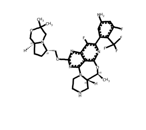 C[C@@H]1Oc2nc(-c3cc(N)cc(F)c3C(F)(F)F)c(F)c3nc(OC[C@@H]4CC[C@H]5COC(C)(C)CN45)nc(c23)N2CCNC[C@@H]12